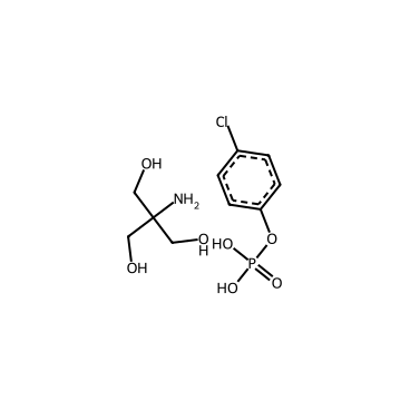 NC(CO)(CO)CO.O=P(O)(O)Oc1ccc(Cl)cc1